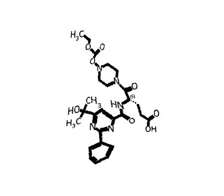 CCOC(=O)ON1CCN(C(=O)[C@H](CCC(=O)O)NC(=O)c2cc(C(C)(C)O)nc(-c3ccccc3)n2)CC1